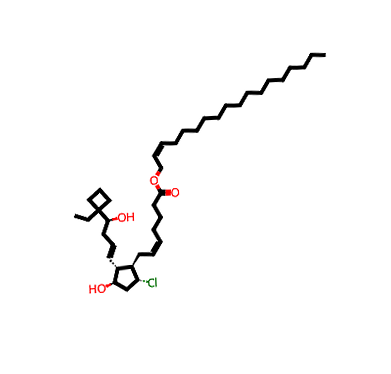 CCCCCCCCCCCCCCC/C=C\COC(=O)CCC/C=C\C[C@@H]1[C@@H](/C=C/C[C@H](O)C2(CC)CCC2)[C@H](O)C[C@H]1Cl